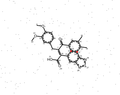 COc1ccc(C/C(C(=O)c2ccc(C)c(C)c2)=C(\C(=O)O)c2ccc3nsnc3c2)cc1OC